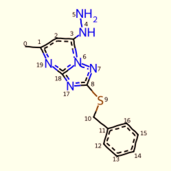 Cc1cc(NN)n2nc(SCc3ccccc3)nc2n1